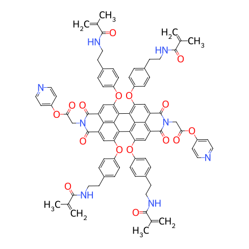 C=C(C)C(=O)NCCc1ccc(Oc2cc3c4c(cc(Oc5ccc(CCNC(=O)C(=C)C)cc5)c5c6c(Oc7ccc(CCNC(=O)C(=C)C)cc7)cc7c8c(cc(Oc9ccc(CCNC(=O)C(=C)C)cc9)c(c2c45)c86)C(=O)N(CC(=O)Oc2ccncc2)C7=O)C(=O)N(CC(=O)Oc2ccncc2)C3=O)cc1